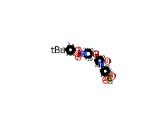 CC(C)(C)c1ccc(OC(=O)N2CCC(Oc3ccn(-c4ccc(S(C)(=O)=O)cc4)c(=O)c3)CC2)cc1